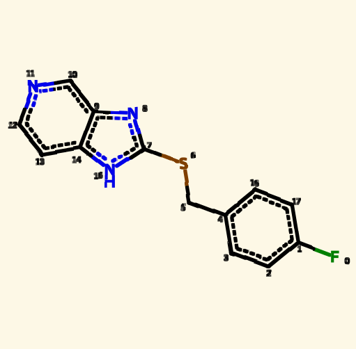 Fc1ccc(CSc2nc3cnccc3[nH]2)cc1